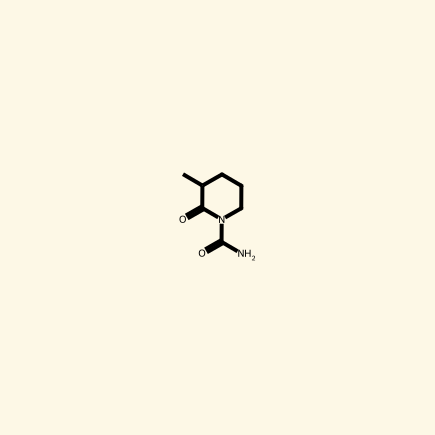 C[C]1CCCN(C(N)=O)C1=O